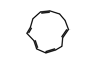 [C]1=C/C\C=C/C=C/C=C/C/C=C\CC/1